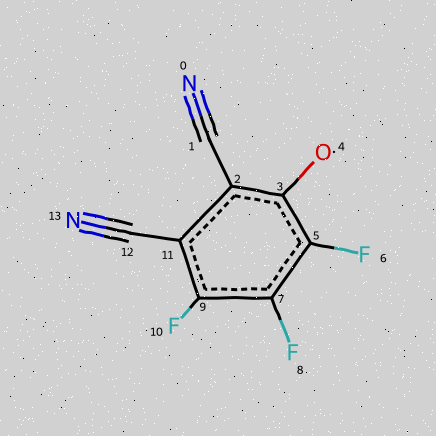 N#Cc1c([O])c(F)c(F)c(F)c1C#N